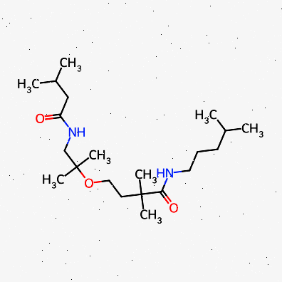 CC(C)CCCNC(=O)C(C)(C)CCOC(C)(C)CNC(=O)CC(C)C